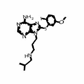 COc1ccc(I)c(Sc2nc3c(N)ncnc3n2CCCNCC(C)C)c1